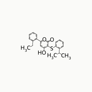 CCc1ccccc1-c1cc(O)c(Sc2ccccc2C(C)C)c(=O)o1